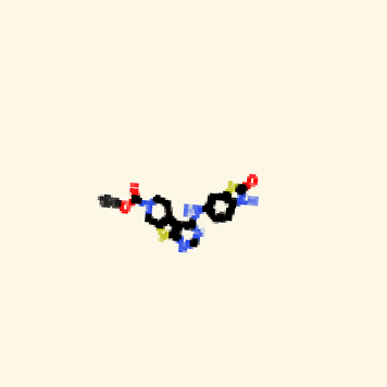 CC(C)(C)OC(=O)N1CCc2c(sc3ncnc(Nc4ccc5[nH]c(=O)sc5c4)c23)C1